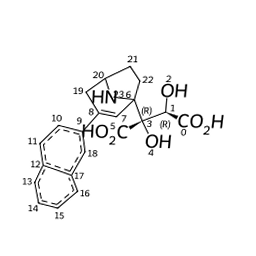 O=C(O)[C@H](O)[C@@](O)(C(=O)O)C12C=C(c3ccc4ccccc4c3)CC(CC1)N2